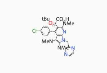 CNc1nc2c(c(NC)c(NC)n2Cc2cnccn2)c(-c2ccc(Cl)cc2)c1[C@H](OC(C)(C)C)C(=O)O